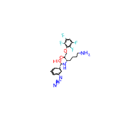 [N-]=[N+]=Nc1cccc(C(O)NC(CCCCN)C(=O)COc2c(F)c(F)cc(F)c2F)c1